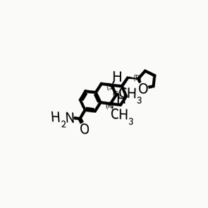 C[C@H]1[C@H]2Cc3ccc(C(N)=O)cc3[C@]1(C)CCC2C[C@H]1CCCO1